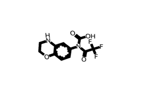 O=C(O)N(C(=O)C(F)(F)F)c1ccc2c(c1)NCCO2